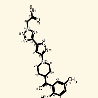 Cc1ccc(C)c(C(=O)C2CCN(c3cc(-c4nnn(CC(=O)O)n4)on3)CC2)c1